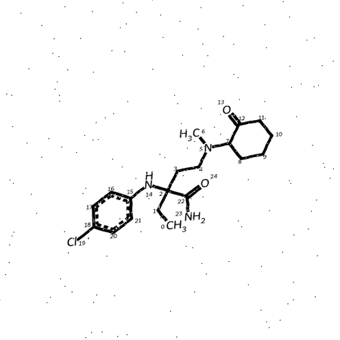 CCC(CCN(C)C1CCCCC1=O)(Nc1ccc(Cl)cc1)C(N)=O